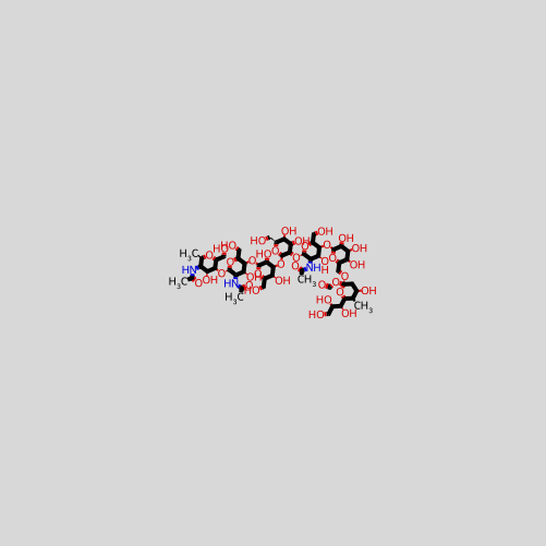 CC(=O)NC1[C@H](OC2C(O)[C@H](O)[C@@H](CO)O[C@@H]2O[C@@H]2C(O)[C@H](O[C@@H]3C(CO)O[C@@H](O[C@@H]4C(CO)O[C@@H](C)C(NC(C)=O)[C@H]4O)C(NC(C)=O)[C@H]3O)OC(CO)[C@H]2O)OC(CO)[C@@H](O[C@@H]2OC(CO[C@]3(OC=O)C[C@@H](O)[C@@H](C)C([C@H](O)[C@H](O)CO)O3)[C@H](O)[C@H](O)C2O)[C@@H]1O